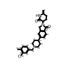 C=C1CCC(N2Cc3cc(C4CCN(Cc5ccc(C)c(Cl)c5)CC4)ccc3C2=O)C(=O)N1